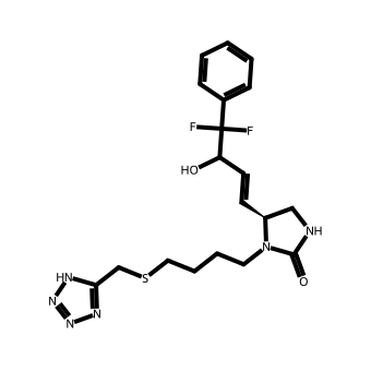 O=C1NC[C@H](/C=C/C(O)C(F)(F)c2ccccc2)N1CCCCSCc1nnn[nH]1